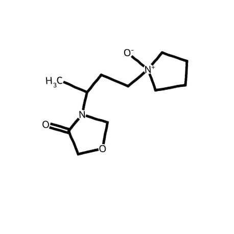 CC(CC[N+]1([O-])CCCC1)N1COCC1=O